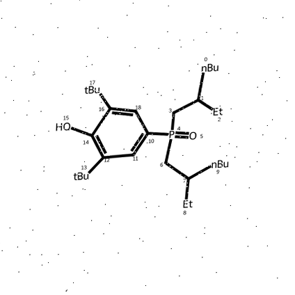 CCCCC(CC)CP(=O)(CC(CC)CCCC)c1cc(C(C)(C)C)c(O)c(C(C)(C)C)c1